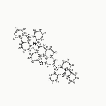 c1ccc(N(c2cc3c4c(ccc5cc(N(c6ccccc6)c6cccc7c6sc6ccccc67)c6cccc(c6c54)O3)c2)c2cccc3c2sc2ccccc23)cc1